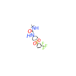 CC(C)(C)NC(=O)CNC1CCC(S(=O)(=O)c2cccc(C(F)(F)F)c2)CC1